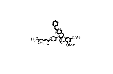 COc1cc(OC)c(Cl)c(N2Cc3cnc(Nc4ccccc4)nc3N(C3CCN(C(=O)C=CCN(C)C)CC3)C2=O)c1